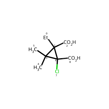 CCC1(C(=O)O)C(C)(C)C1(Cl)C(=O)O